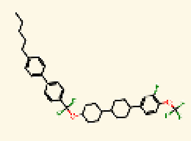 CCCCCc1ccc(-c2ccc(C(F)(F)OC3CCC(C4CCC(c5ccc(OC(F)(F)F)c(F)c5)CC4)CC3)cc2)cc1